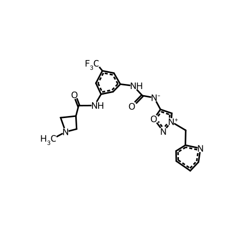 CN1CC(C(=O)Nc2cc(NC(=O)[N-]c3c[n+](Cc4ccccn4)no3)cc(C(F)(F)F)c2)C1